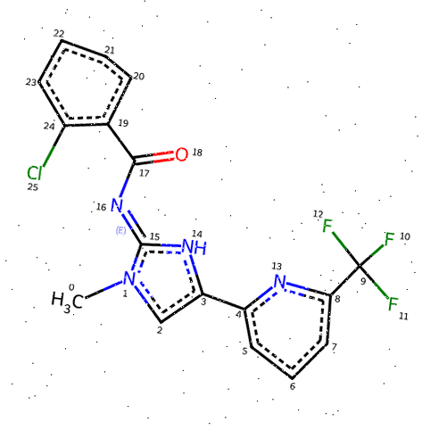 Cn1cc(-c2cccc(C(F)(F)F)n2)[nH]/c1=N\C(=O)c1ccccc1Cl